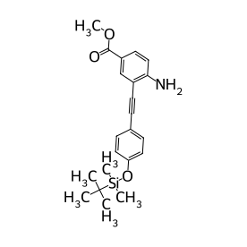 COC(=O)c1ccc(N)c(C#Cc2ccc(O[Si](C)(C)C(C)(C)C)cc2)c1